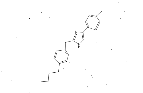 CCCCc1ccc(Cc2nc(-c3ccc(C)cc3)c[nH]2)cc1